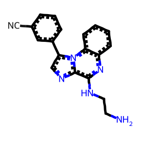 N#Cc1cccc(-c2cnc3c(NCCN)nc4ccccc4n23)c1